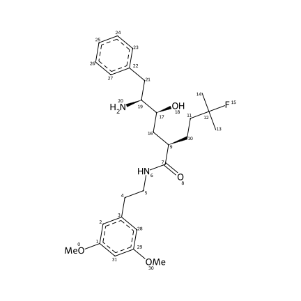 COc1cc(CCNC(=O)[C@H](CCC(C)(C)F)C[C@H](O)[C@@H](N)Cc2ccccc2)cc(OC)c1